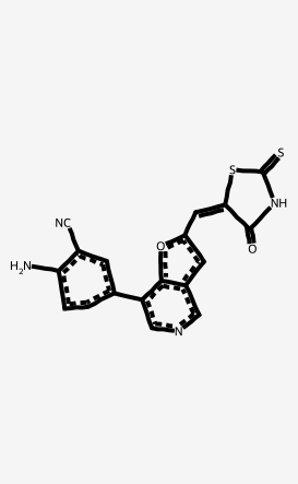 N#Cc1cc(-c2cncc3cc(/C=C4/SC(=S)NC4=O)oc23)ccc1N